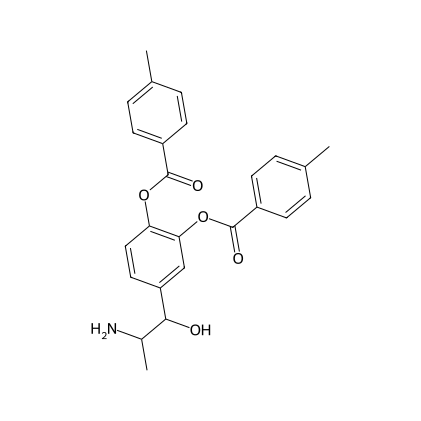 Cc1ccc(C(=O)Oc2ccc(C(O)C(C)N)cc2OC(=O)c2ccc(C)cc2)cc1